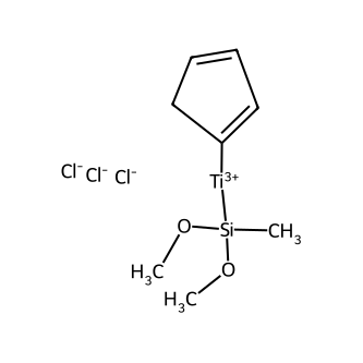 CO[Si](C)(OC)[Ti+3][C]1=CC=CC1.[Cl-].[Cl-].[Cl-]